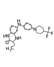 CCC1Nc2cc(Nc3ccc(N4CCC(C(F)(F)F)CC4)cc3)ccc2NC1=O